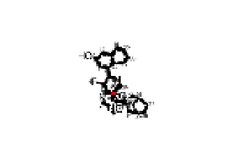 C[n+]1cnc2c(F)c(-c3cc(O)cc4ccccc34)ncc2c1N1CC2CCC(C1)N2C(=O)OC(C)(C)C